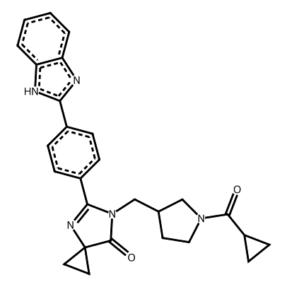 O=C(C1CC1)N1CCC(CN2C(=O)C3(CC3)N=C2c2ccc(-c3nc4ccccc4[nH]3)cc2)C1